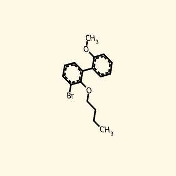 CCCCOc1c(Br)cccc1-c1ccccc1OC